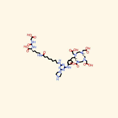 O=C(O)CNC(=O)N[C@@H](CCCCNC(=O)CCCCCCCNc1nc(Nc2ccc(CC3CN(C(=O)O)CCN(CC(=O)O)CCN(CC(=O)O)CCN3CC(=O)O)cc2)nc(N2CCNCC2)n1)C(=O)O